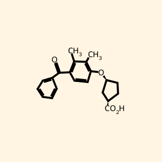 Cc1c(O[C@H]2CC[C@H](C(=O)O)C2)ccc(C(=O)c2ccccc2)c1C